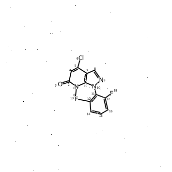 Cn1c(=O)cc(Cl)c2cnn(-c3c(F)cccc3F)c21